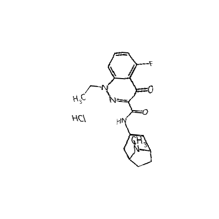 CCn1nc(C(=O)NC2CC3CCC(C2)N3C)c(=O)c2c(F)cccc21.Cl